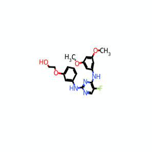 COc1cc(Nc2nc(Nc3cccc(OCCO)c3)ncc2F)cc(OC)c1